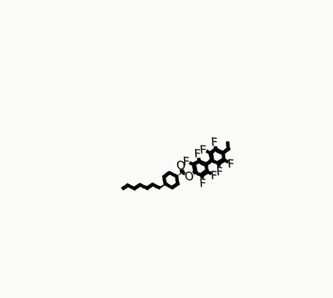 CCCCCCC[C@H]1CC[C@H](C(=O)Oc2c(F)c(F)c(-c3c(F)c(F)c(CC)c(F)c3F)c(F)c2F)CC1